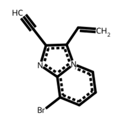 C#Cc1nc2c(Br)cccn2c1C=C